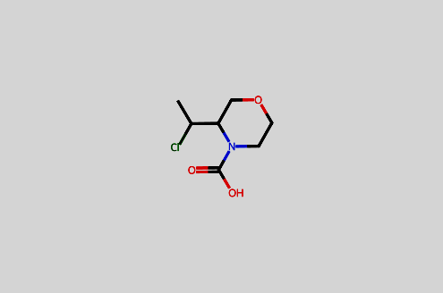 CC(Cl)C1COCCN1C(=O)O